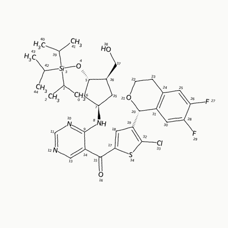 CC(C)[Si](O[C@H]1C[C@H](Nc2ncncc2C(=O)c2cc([C@@H]3OCCc4cc(F)c(F)cc43)c(Cl)s2)C[C@@H]1CO)(C(C)C)C(C)C